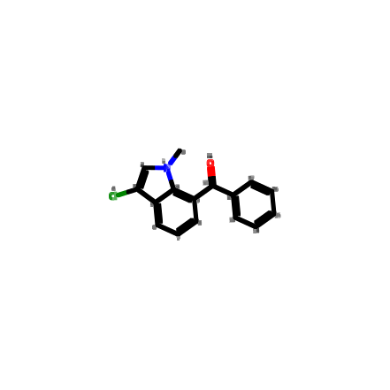 Cn1cc(Cl)c2cccc(C(=O)c3ccccc3)c21